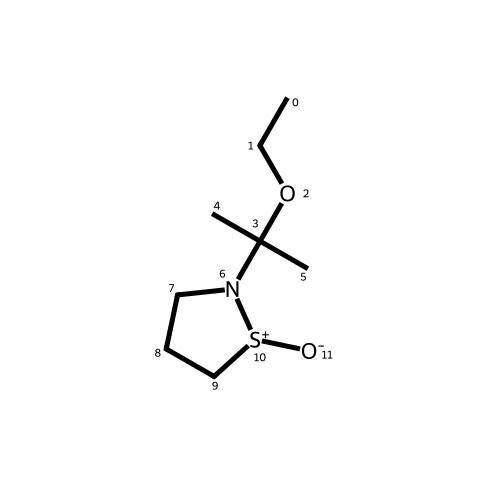 CCOC(C)(C)N1CCC[S+]1[O-]